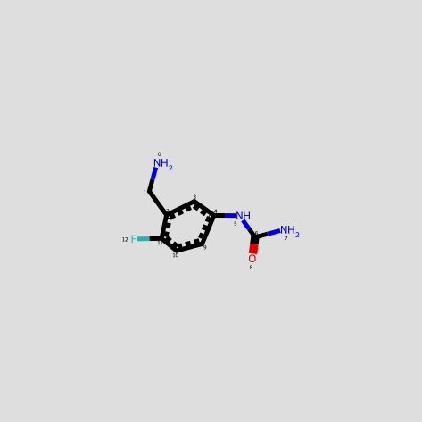 NCc1cc(NC(N)=O)ccc1F